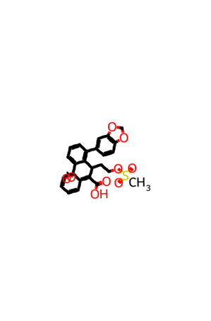 CS(=O)(=O)OCCC1C(C(=O)O)=C2C=CC=C3OCOC32c2cccc(-c3ccc4c(c3)OCO4)c21